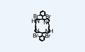 Brc1cccc(Br)c1/C1=C2\C=CC(=N2)/C=c2/cc/c([nH]2)=C(\c2c(Br)cccc2Br)C2=N/C(=C\C3CC=C1N3)C=C2